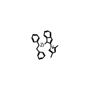 Cc1cc(C)n(C2=Cc3ccccc3[CH]2[Zr])c1.c1ccc(CCc2ccccc2)cc1